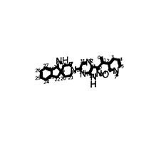 C=C(c1cccn(C)c1=O)c1n[nH]c2nc(N3CCC4(CC3)Cc3ccccc3[C@H]4N)cnc12